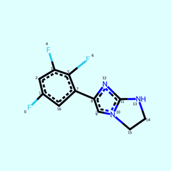 Fc1cc(F)c(F)c(-c2[c]n3c(n2)NCC3)c1